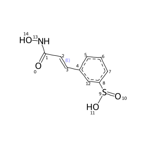 O=C(/C=C/c1cccc(S(=O)O)c1)NO